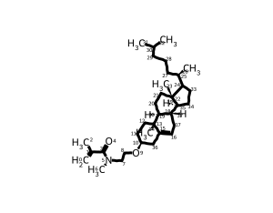 C=C(C)C(=O)N(C)CCO[C@H]1CC[C@@]2(C)C(=CC[C@@H]3[C@@H]2CC[C@]2(C)C([C@H](C)CCCC(C)C)CC[C@@H]32)C1